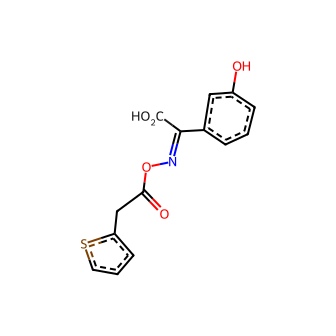 O=C(Cc1cccs1)ON=C(C(=O)O)c1cccc(O)c1